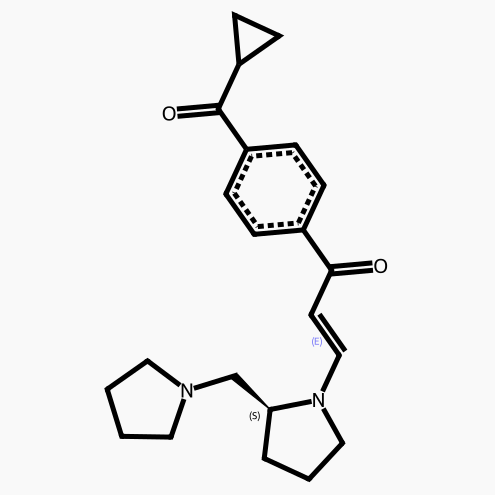 O=C(/C=C/N1CCC[C@H]1CN1CCCC1)c1ccc(C(=O)C2CC2)cc1